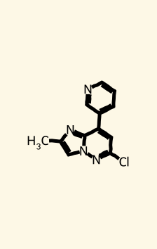 Cc1cn2nc(Cl)cc(-c3cccnc3)c2n1